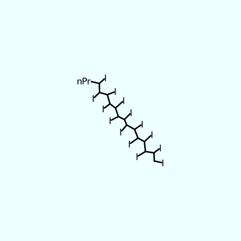 CCCC(I)C(I)C(I)C(I)C(I)C(I)C(I)C(I)C(I)C(I)C(I)C(I)C(I)CI